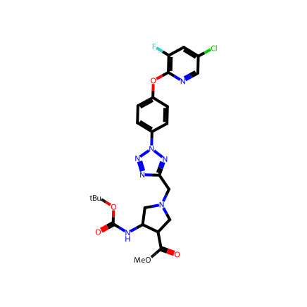 COC(=O)C1CN(Cc2nnn(-c3ccc(Oc4ncc(Cl)cc4F)cc3)n2)CC1NC(=O)OC(C)(C)C